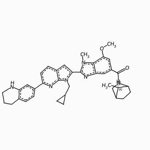 COc1cc(C(=O)N2CC3CCC2[C@@H]3C)cc2nc(-c3cc4ccc(-c5ccc6c(c5)NCCC6)nc4n3CC3CC3)n(C)c12